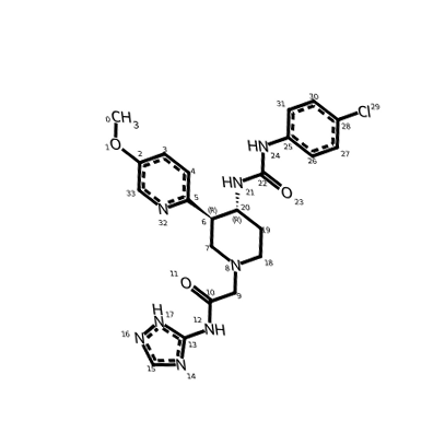 COc1ccc([C@@H]2CN(CC(=O)Nc3ncn[nH]3)CC[C@H]2NC(=O)Nc2ccc(Cl)cc2)nc1